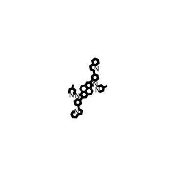 Cc1ccnc(-n2c3ccc(-c4ccc5ccccc5n4)cc3c3cc4c5c(c32)CCc2cc3c6cc(-c7ccc8ccccn78)ccc6n(-c6cc(C)ccn6)c3c(c2-5)CC4)c1